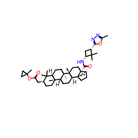 Cc1nnc([C@H]2C[C@@H](NC(=O)[C@]34CCC[C@@H]3[C@H]3CC[C@@H]5[C@]6(C)CC[C@@H](CC(=O)OC7(C)CC7)C(C)(C)[C@H]6CC[C@@]5(C)[C@]3(C)CC4)C2(C)C)o1